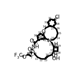 O=C1NS(=O)(=O)[C@@H](CCOC(F)(F)F)CC/C=C/[C@H](O)[C@@H]2CC[C@H]2CN2CCCCc3cc(Cl)ccc3COc3ccc1cc32